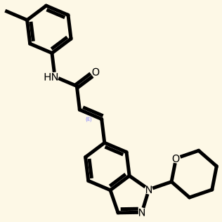 Cc1cccc(NC(=O)/C=C/c2ccc3cnn(C4CCCCO4)c3c2)c1